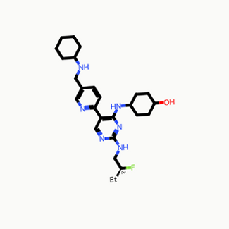 CC[C@H](F)CNc1ncc(-c2ccc(CNC3CCCCC3)cn2)c(NC2CCC(O)CC2)n1